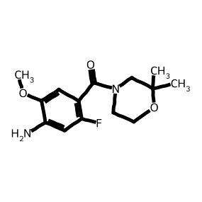 COc1cc(C(=O)N2CCOC(C)(C)C2)c(F)cc1N